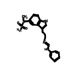 CN(c1ccc2[nH]cc(CCN=CNc3cccnc3)c2c1)S(C)(=O)=O